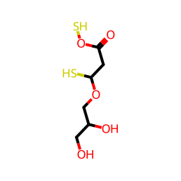 O=C(CC(S)OCC(O)CO)OS